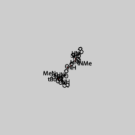 CNC(C)C(=O)NC(Cc1ccc(NC(=O)c2ccc(C(=O)N[C@H]3C[C@@H](C(=O)N[C@@H]4CCCc5ccccc54)N(C(=O)C(NC(=O)C(C)NC)C(C)(C)C)C3)cc2)cc1)C(=O)N1C[Si](C)(C)CC1C(=O)N[C@@H]1CCCc2ccccc21